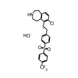 Cl.O=S(=O)(c1ccc(CSc2c(Cl)ccc3c2CCNCC3)cc1)c1ccc(C(F)(F)F)cc1